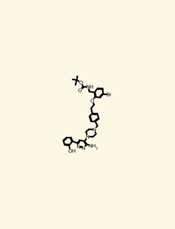 CC(C)(C)OC(=O)NCc1ccc(Br)cc1OCCc1ccc(CN2CCN(c3cc(-c4ccccc4O)nnc3N)CC2)cc1